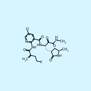 C=C(CCF)C(=O)Nc1ncc(Cl)cc1C(=O)N[C@@H](C[C@@H]1C[C@@H](C)NC1=O)C(=O)C(=O)NC